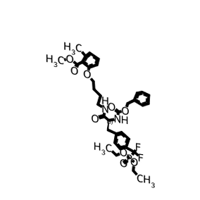 CCOP(=O)(OCC)C(F)(F)c1ccc(C[C@H](NC(=O)OCc2ccccc2)C(=O)NCCCCOc2cccc(C)c2C(=O)OC)cc1